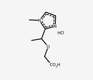 CC(OCC(=O)O)c1nccn1C.Cl